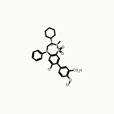 CCOc1ccc(-c2cc3c(cc2Cl)N(c2ccccc2)C[C@@H](C2CCCCC2)N(C)S3(=O)=O)cc1C(=O)O